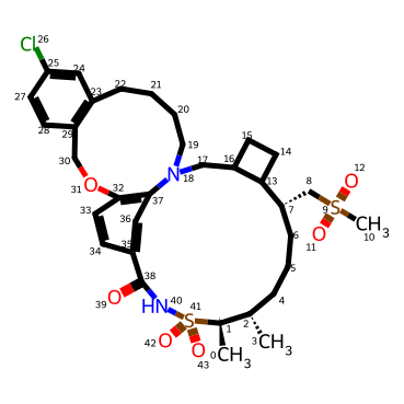 C[C@@H]1[C@@H](C)CCC[C@@H](CS(C)(=O)=O)C2CCC2CN2CCCCc3cc(Cl)ccc3COc3ccc(cc32)C(=O)NS1(=O)=O